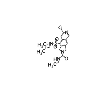 CCNC(=O)N1Cc2cc3cnc(C4CC4)cc3c(S(=O)(=O)NCC(C)C)c2C1